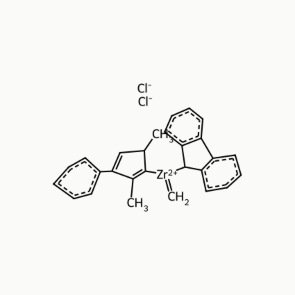 [CH2]=[Zr+2]([C]1=C(C)C(c2ccccc2)=CC1C)[CH]1c2ccccc2-c2ccccc21.[Cl-].[Cl-]